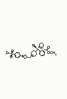 COC(=O)C[C@H]1CCC[C@H]1C(C#N)(c1ccccc1)C1CCN(CC2CN(c3ccc(S(=O)(=O)C4CC4)cc3)C2)CC1